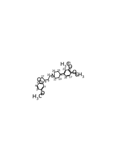 COc1ccc2c(c1)C(CCN1CCC(c3ccc(OC)c(OC)c3)CC1)CO2